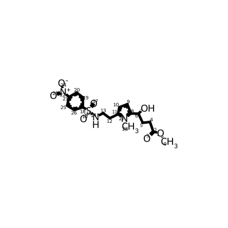 COC(=O)CCC(O)c1ccc(CCNS(=O)(=O)c2ccc([N+](=O)[O-])cc2)n1C